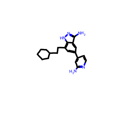 Nc1cc(-c2cc(CCC3CCCCC3)c3[nH]nc(N)c3c2)ccn1